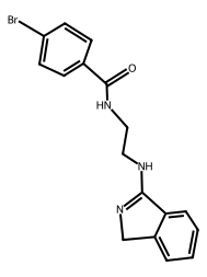 O=C(NCCNC1=NCc2ccccc21)c1ccc(Br)cc1